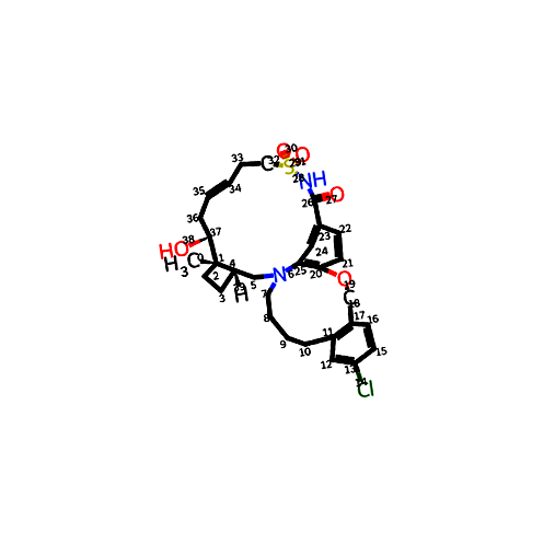 C[C@]12CC[C@H]1CN1CCCCc3cc(Cl)ccc3COc3ccc(cc31)C(=O)NS(=O)(=O)CC/C=C/C[C@@H]2O